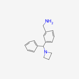 NCc1cccc(C(c2ccccc2)N2CCC2)c1